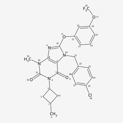 CC1CC(n2c(=O)c3c(nc(Oc4cccc(OC(F)(F)F)c4)n3Cc3ccc(Cl)cc3)n(C)c2=O)C1